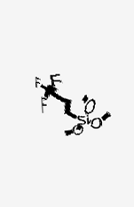 CO[Si](CCC(F)(F)F)(OC)OC